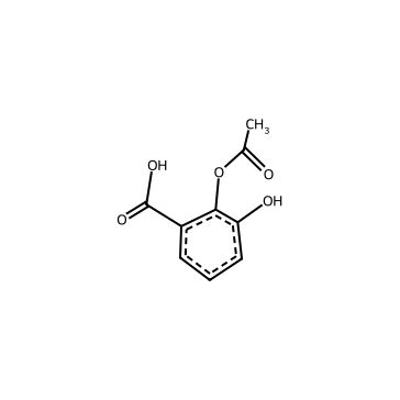 CC(=O)Oc1c(O)cccc1C(=O)O